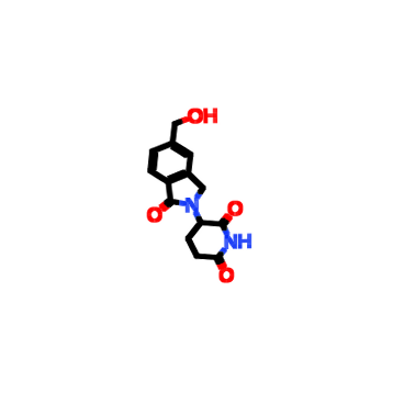 O=C1CCC(N2Cc3cc(CO)ccc3C2=O)C(=O)N1